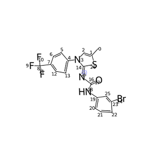 Cc1cn(-c2ccc(C(F)(F)F)cc2)/c(=N/C(=O)Nc2cccc(Br)c2)s1